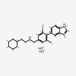 Cl.Cl.Fc1cc(CNCCC2CCCCC2)cc(F)c1-c1ccc2[nH]cnc2c1